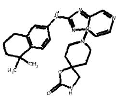 CC1(C)CCCc2cc(NC3=N[N+]4(N5CCC6(CC5)CNC(=O)O6)C=CN=CC4=N3)ccc21